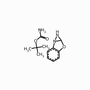 CC(C)(C)OC(N)=O.c1ccc2c(c1)OC1NN21